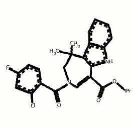 CC(C)OC(=O)C1=CN(C(=O)c2ccc(F)cc2Cl)CC(C)(C)c2c1[nH]c1ccccc21